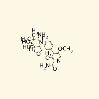 COc1cnc(C(N)=O)c(C)c1-c1ccc(F)c([C@]23COC[C@@H]2S(O)(O)C(C)(C)C(N)=N3)c1